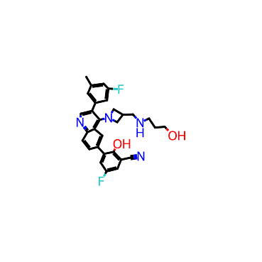 Cc1cc(F)cc(-c2cnc3ccc(-c4cc(F)cc(C#N)c4O)cc3c2N2CC(CNCCCO)C2)c1